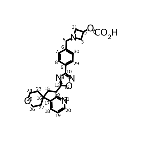 O=C(O)OC1CN(Cc2ccc(-c3noc(CCC4(c5cccnc5)CCOCC4)n3)cc2)C1